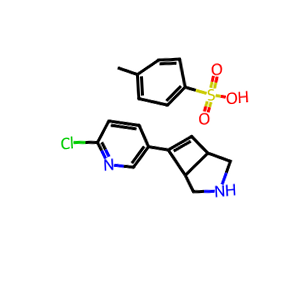 Cc1ccc(S(=O)(=O)O)cc1.Clc1ccc(C2=CC3CNCC23)cn1